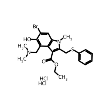 CCOC(=O)c1c(CSc2ccccc2)n(C)c2cc(Br)c(O)c(CN(C)C)c12.Cl.Cl